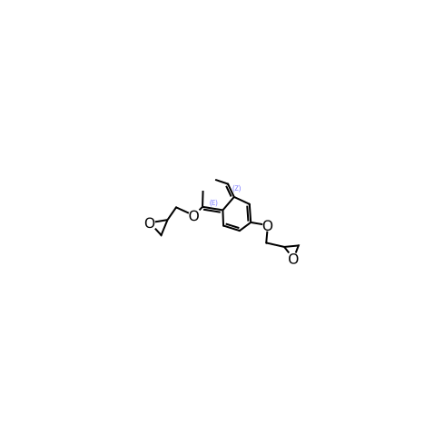 C/C=c1/cc(OCC2CO2)cc/c1=C(/C)OCC1CO1